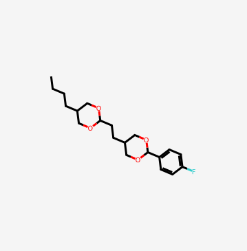 CCCCC1COC(CCC2COC(c3ccc(F)cc3)OC2)OC1